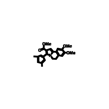 COC(=O)c1cc2n(c1-c1cc(C)cc(C)c1)CCc1cc(OC)c(OC)cc1-2